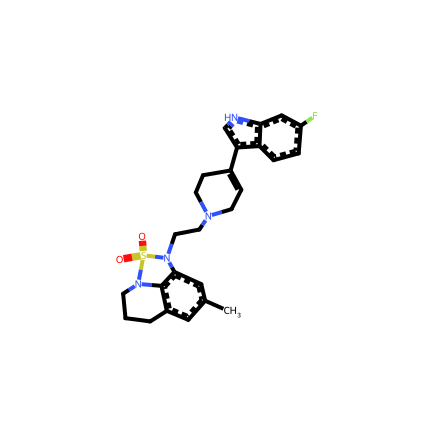 Cc1cc2c3c(c1)N(CCN1CC=C(c4c[nH]c5cc(F)ccc45)CC1)S(=O)(=O)N3CCC2